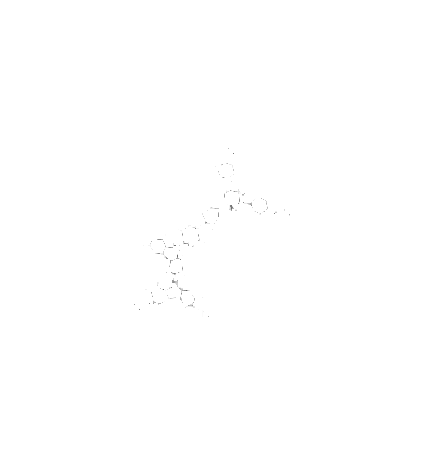 N#Cc1ccc(-c2cc(-c3ccc(-c4ccc(-n5c6ccccc6c6cc(-n7c8ccc(C#N)cc8c8cc(C#N)ccc87)ccc65)cc4)cc3)nc(-c3ccc(C#N)cc3)n2)cc1